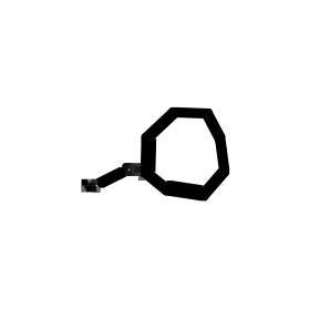 C1=CCCCCC=C1.CC#N